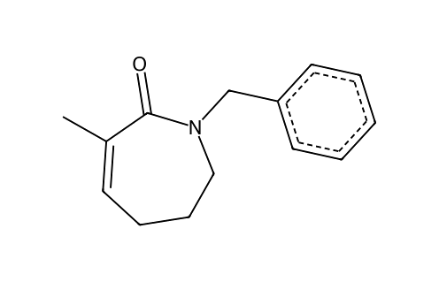 CC1=CCCCN(Cc2ccccc2)C1=O